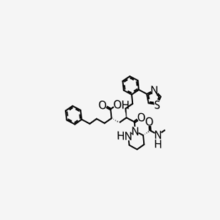 CNC(=O)[C@@H]1CCCNN1C(=O)[C@H](CCc1ccccc1-c1cscn1)C[C@H](CCCc1ccccc1)C(=O)O